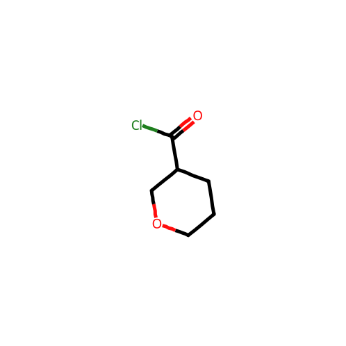 O=C(Cl)C1CCCOC1